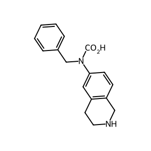 O=C(O)N(Cc1ccccc1)c1ccc2c(c1)CCNC2